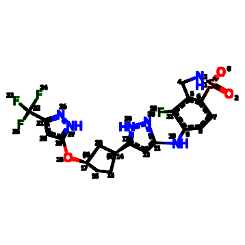 O=S1(=O)NCc2c1ccc(Nc1cc([C@H]3CC[C@@H](Oc4cc(C(F)(F)F)n[nH]4)C3)[nH]n1)c2F